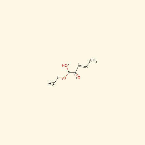 [CH2]COC(O)C(=O)C=CC